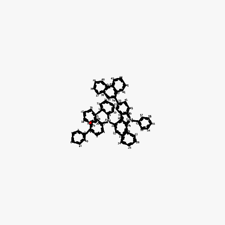 c1ccc(-c2ccc(N(c3ccccc3-c3ccccc3)c3cc4ccccc4c4c3c3cc(-c5cc6ccccc6c6ccccc56)ccc3n4-c3ccccc3)cc2)cc1